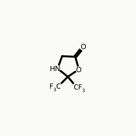 O=C1CNC(C(F)(F)F)(C(F)(F)F)O1